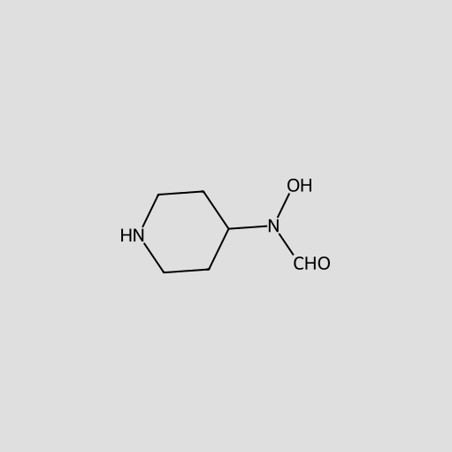 O=CN(O)C1CCNCC1